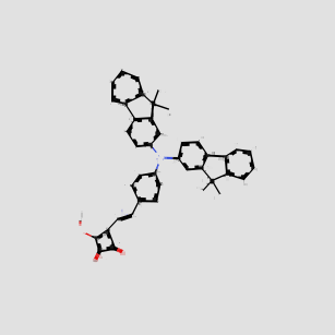 CC(C)Oc1c(/C=C/c2ccc(N(c3ccc4c(c3)C(C)(C)c3ccccc3-4)c3ccc4c(c3)C(C)(C)c3ccccc3-4)cc2)c(=O)c1=O